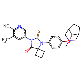 CN1CC2CCC(C1)C2Oc1ccc(N2C(=S)N(c3cnc(C#N)c(C(F)(F)F)c3)C(=O)C23CCC3)cc1